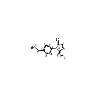 C=C1C=CC(=O)N1c1ccc(CC(C)C)cc1